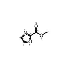 COC(=O)c1nc[c]o1